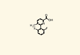 Cc1ccc(C(=O)O)nc1-c1c(F)cccc1F